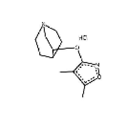 Cc1onc(OC2CN3CCC2CC3)c1C.Cl